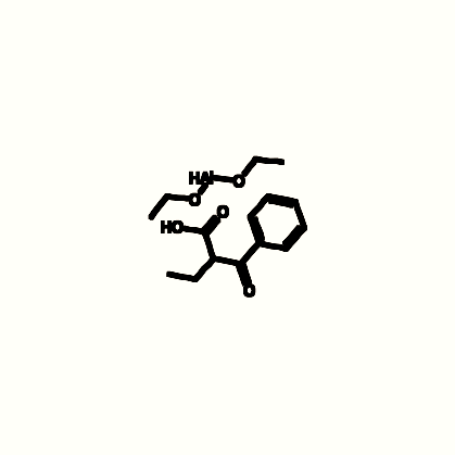 CCC(C(=O)O)C(=O)c1ccccc1.CC[O][AlH][O]CC